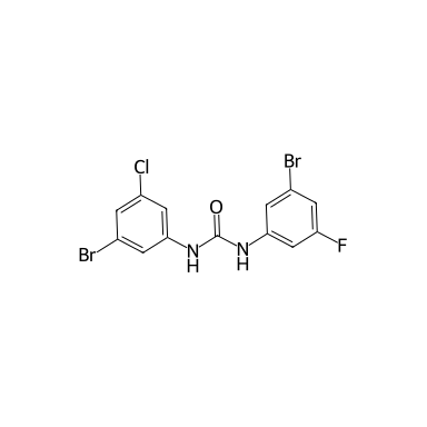 O=C(Nc1cc(F)cc(Br)c1)Nc1cc(Cl)cc(Br)c1